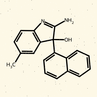 Cc1ccc2c(c1)C(O)(c1cccc3ccccc13)C(N)=N2